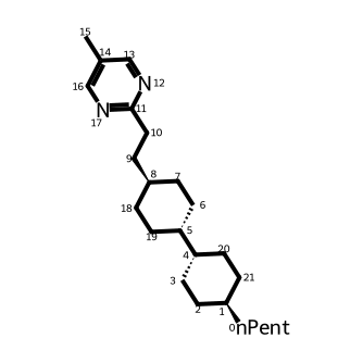 CCCCC[C@H]1CC[C@H]([C@H]2CC[C@H](CCc3ncc(C)cn3)CC2)CC1